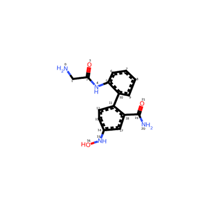 NCC(=O)Nc1ccccc1-c1ccc(NO)cc1C(N)=O